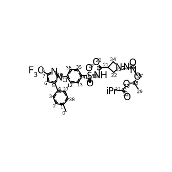 Cc1ccc(-c2cc(C(F)(F)F)nn2-c2ccc(S(=O)(=O)NC(=O)C3CN(n4on4OC(C)OC(=O)C(C)C)C3)cc2)cc1